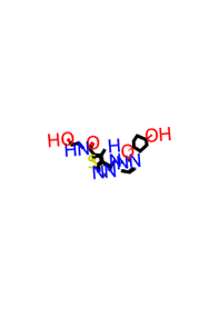 Cc1c(C(=O)NCCO)sc2ncnc(NN3CC=CN=C3O[C@H]3CC[C@H](O)CC3)c12